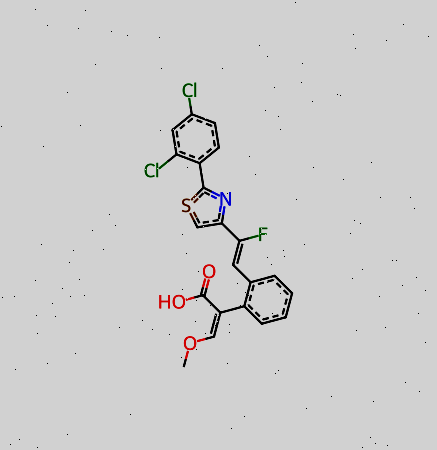 CO/C=C(\C(=O)O)c1ccccc1/C=C(\F)c1csc(-c2ccc(Cl)cc2Cl)n1